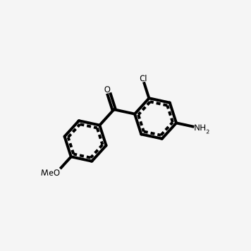 COc1ccc(C(=O)c2ccc(N)cc2Cl)cc1